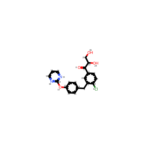 O=C(c1ccc(Cl)c(Cc2ccc(Oc3ncccn3)cc2)c1)C(O)CO